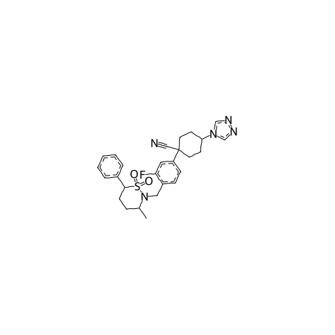 CC1CCC(c2ccccc2)S(=O)(=O)N1Cc1ccc(C2(C#N)CCC(n3cnnc3)CC2)cc1F